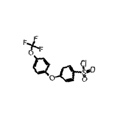 O=S(=O)(Cl)c1ccc(Oc2ccc(OC(F)(F)F)cc2)cc1